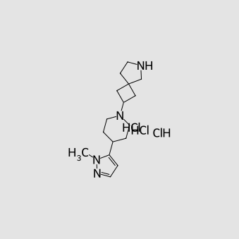 Cl.Cl.Cl.Cn1nccc1C1CCN(C2CC3(CCNC3)C2)CC1